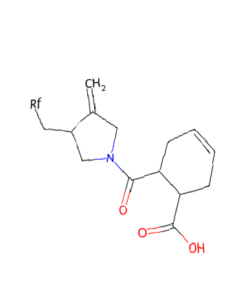 C=C1CN(C(=O)C2CC=CCC2C(=O)O)CC1[CH2][Rf]